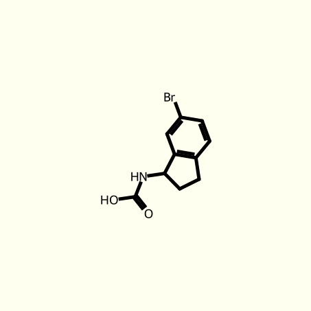 O=C(O)NC1CCc2ccc(Br)cc21